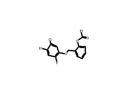 CCC(=O)Oc1ccccc1COc1cc(Cl)c(CC)cc1F